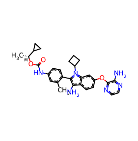 Cc1cc(NC(=O)O[C@H](C)C2CC2)ccc1-c1c(N)c2ccc(Oc3nccnc3N)cc2n1C1CCC1